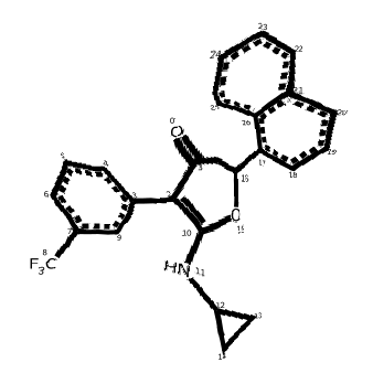 O=C1C(c2cccc(C(F)(F)F)c2)=C(NC2CC2)OC1c1cccc2ccccc12